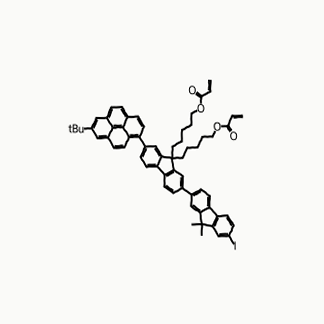 C=CC(=O)OCCCCCC1(CCCCCOC(=O)C=C)c2cc(-c3ccc4c(c3)C(C)(C)c3cc(I)ccc3-4)ccc2-c2ccc(-c3ccc4ccc5cc(C(C)(C)C)cc6ccc3c4c56)cc21